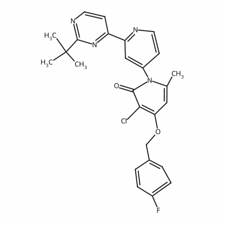 Cc1cc(OCc2ccc(F)cc2)c(Cl)c(=O)n1-c1ccnc(-c2ccnc(C(C)(C)C)n2)c1